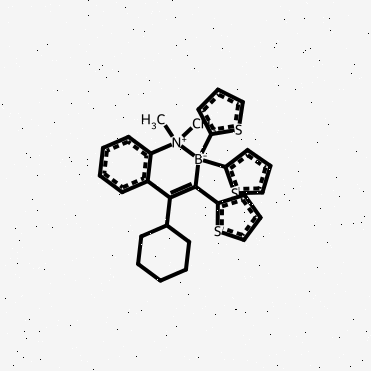 C[N+]1(C)c2ccccc2C(C2CCCCC2)=C(c2cccs2)[B-]1(c1cccs1)c1cccs1